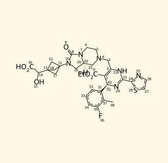 CCOC(=O)C1=C(CN2CCN3C(=O)N(C45CC(C(O)C(=O)O)(C4)C5)C[C@@H]3C2)NC(c2nccs2)=N[C@H]1c1cccc(F)c1C